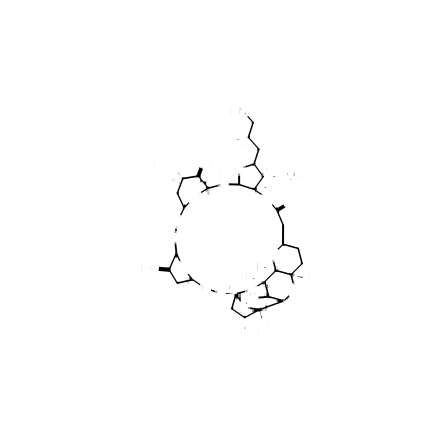 C=C1C[C@@H]2CC[C@]34C[C@@H](O)[C@H](O3)[C@@H]3O[C@H]5CCC(CC(=O)C[C@H]6C(C[C@H]7OC(CCC1O2)C[C@@H](C)C7=C)OC(C[C@H](O)CN)[C@@H]6OC)O[C@@H]5[C@H](O4)[C@@H]3C